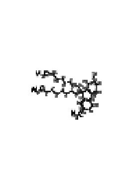 CCCCCCCCC1(CCCCCCCC)c2cc(C)ccc2-c2ccc(I)cc21